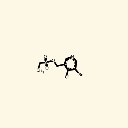 CCS(=O)(=O)OCc1cncc(Br)c1Cl